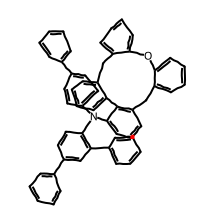 c1ccc(-c2ccc(N(c3ccc(-c4ccccc4)cc3-c3ccccc3)c3cccc4c3-c3ccccc3Cc3ccccc3Oc3ccccc3C4)cc2)cc1